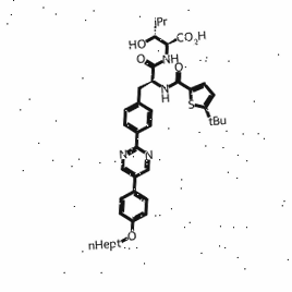 CCCCCCCOc1ccc(-c2cnc(-c3ccc(C[C@H](NC(=O)c4ccc(C(C)(C)C)s4)C(=O)N[C@H](C(=O)O)[C@H](O)C(C)C)cc3)nc2)cc1